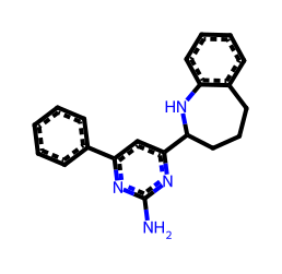 Nc1nc(-c2ccccc2)cc(C2CCCc3ccccc3N2)n1